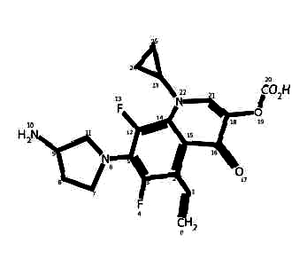 C=Cc1c(F)c(N2CCC(N)C2)c(F)c2c1c(=O)c(OC(=O)O)cn2C1CC1